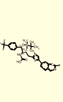 CC(C)(C)[Si](C)(C)O[C@@H](c1ccc(C(F)(F)F)cc1)[C@@H](CCc1ncc(-c2ccc3cnc(F)cc3c2)s1)NC(=O)O